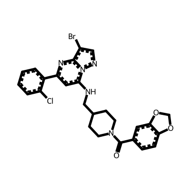 O=C(c1ccc2c(c1)OCO2)N1CCC(CNc2cc(-c3ccccc3Cl)nc3c(Br)cnn23)CC1